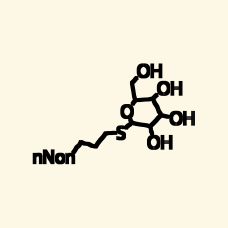 CCCCCCCCCCCCSC1OC(CO)C(O)C(O)C1O